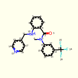 CN(C(=O)c1ccccc1NCc1ccncc1)c1cccc(C(F)(F)F)c1